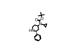 CC(C)(C)OC(=O)N(C1CC1)C1CCN[C@H](c2ccccc2)C1